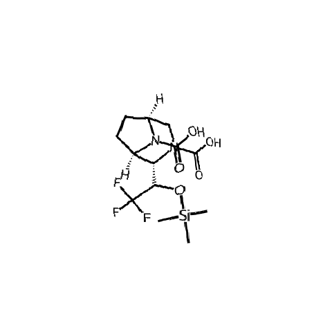 C[Si](C)(C)OC([C@@H]1[C@H]2CC[C@@H](CN1C(=O)O)N2C(=O)O)C(F)(F)F